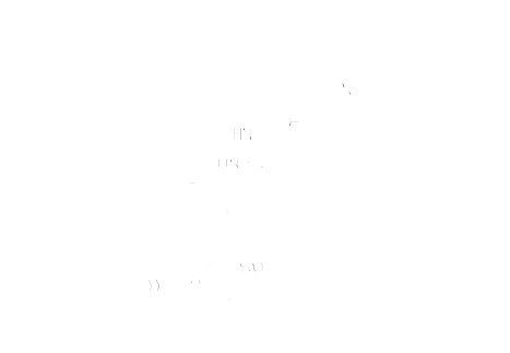 CCOc1cc(-c2ccc(NC(=O)Nc3ccc(OC4(C)CNC4)c(C(F)(F)F)c3)c(F)c2)c[nH]c1=O